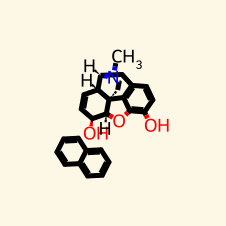 CN1CC[C@]23c4c5ccc(O)c4O[C@H]2[C@@H](O)C=C[C@H]3[C@H]1C5.c1ccc2ccccc2c1